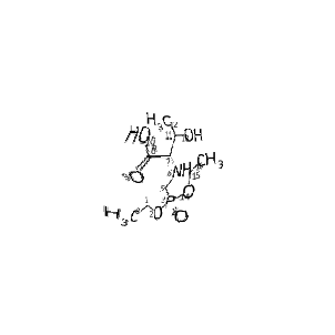 CCOP(=O)(CN[C@H](C(=O)O)[C@@H](C)O)OCC